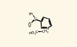 CC(=O)O.CC(C)[S+]([O-])c1cccnc1